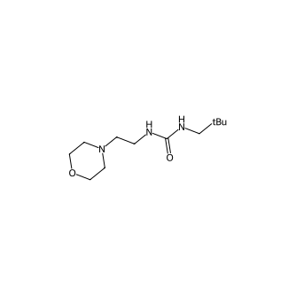 CC(C)(C)CNC(=O)NCCN1CCOCC1